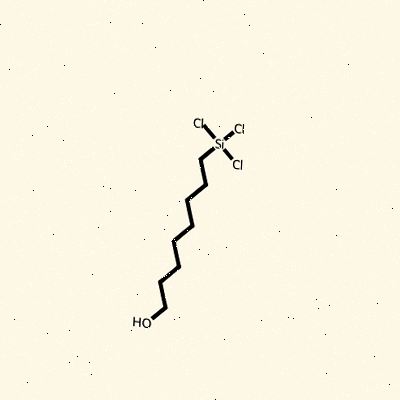 OCCCCCCCC[Si](Cl)(Cl)Cl